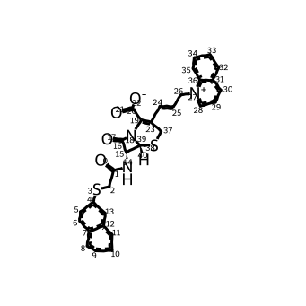 O=C(CSc1ccc2ccccc2c1)N[C@@H]1C(=O)N2C(C(=O)[O-])=C(C=CC[n+]3cccc4ccccc43)CS[C@H]12